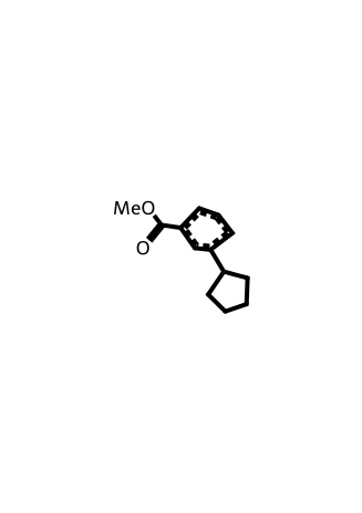 COC(=O)c1cccc(C2CCCC2)c1